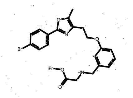 Cc1oc(-c2ccc(Br)cc2)nc1CCOc1[c]c(CNCC(=O)OC(C)C)ccc1